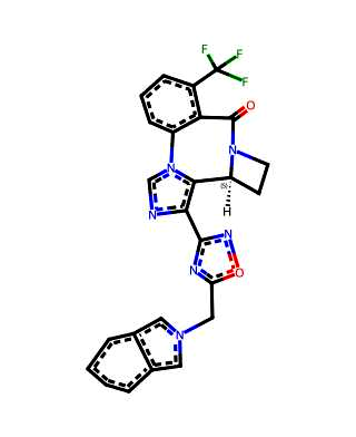 O=C1c2c(cccc2C(F)(F)F)-n2cnc(-c3noc(Cn4cc5ccccc5c4)n3)c2[C@@H]2CCN12